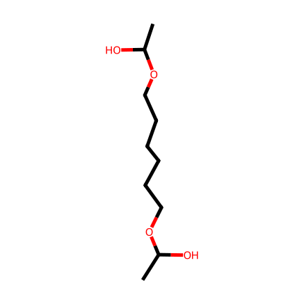 CC(O)OCCCCCCOC(C)O